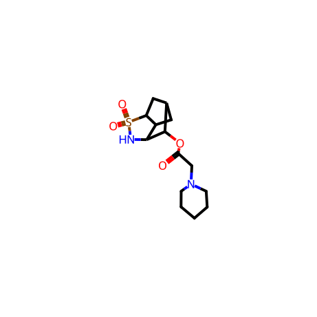 O=C(CN1CCCCC1)OC1C2CC3C1NS(=O)(=O)C3C2